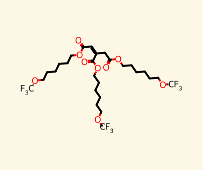 O=C(C=C(CC(=O)OCCCCCCOC(F)(F)F)C(=O)OCCCCCCOC(F)(F)F)OCCCCCCOC(F)(F)F